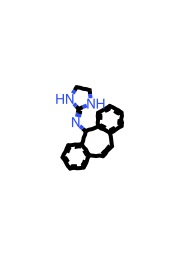 C1=Cc2ccccc2C(N=C2NCCN2)c2ccccc21